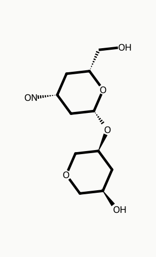 O=N[C@@H]1C[C@H](CO)O[C@H](O[C@@H]2COC[C@H](O)C2)C1